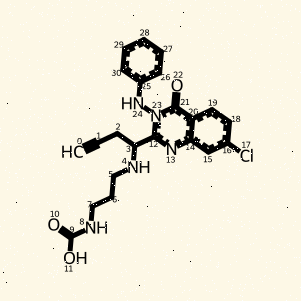 C#CCC(NCCCNC(=O)O)c1nc2cc(Cl)ccc2c(=O)n1Nc1ccccc1